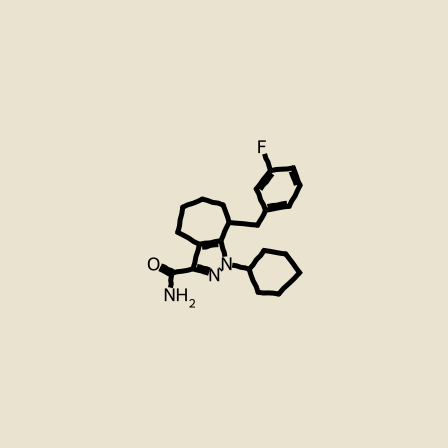 NC(=O)c1nn(C2CCCCC2)c2c1CCCCC2Cc1cccc(F)c1